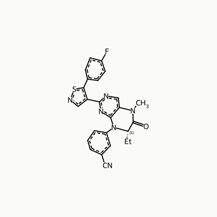 CC[C@H]1C(=O)N(C)c2cnc(-c3cnsc3-c3ccc(F)cc3)nc2N1c1cccc(C#N)c1